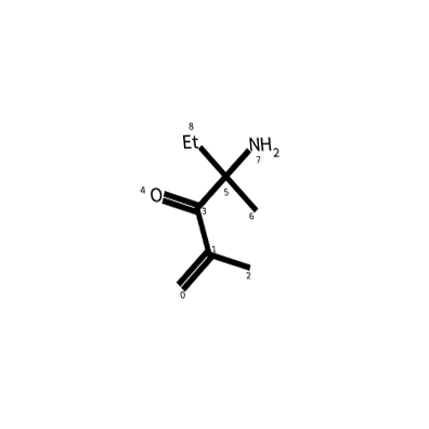 C=C(C)C(=O)C(C)(N)CC